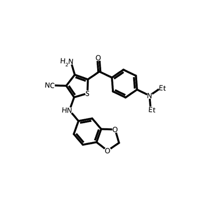 CCN(CC)c1ccc(C(=O)c2sc(Nc3ccc4c(c3)OCO4)c(C#N)c2N)cc1